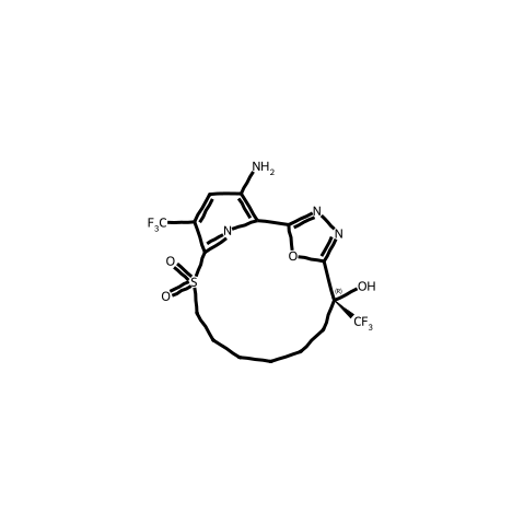 Nc1cc(C(F)(F)F)c2nc1-c1nnc(o1)[C@@](O)(C(F)(F)F)CCCCCCS2(=O)=O